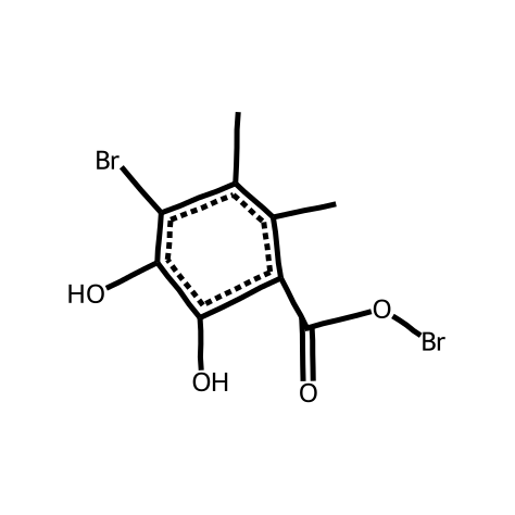 Cc1c(C)c(C(=O)OBr)c(O)c(O)c1Br